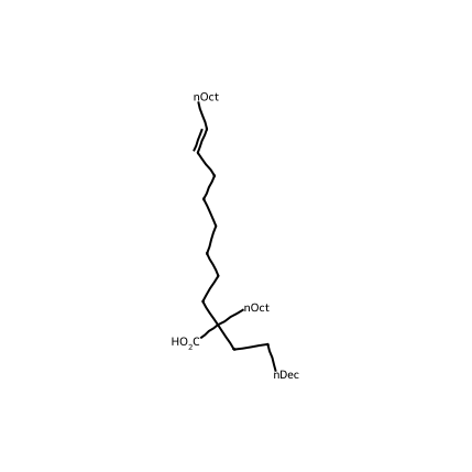 CCCCCCCCC=CCCCCCCC(CCCCCCCC)(CCCCCCCCCCCC)C(=O)O